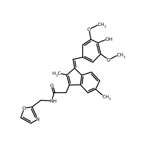 COc1cc(/C=C2/C(C)=C(CC(=O)NCc3ncco3)c3cc(C)ccc32)cc(OC)c1O